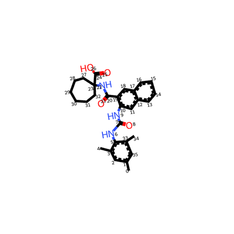 Cc1cc(C)c(NC(=O)Nc2cc3ccccc3cc2C(=O)NC2(C(=O)O)CCCCCC2)c(C)c1